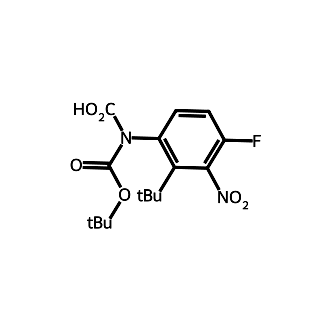 CC(C)(C)OC(=O)N(C(=O)O)c1ccc(F)c([N+](=O)[O-])c1C(C)(C)C